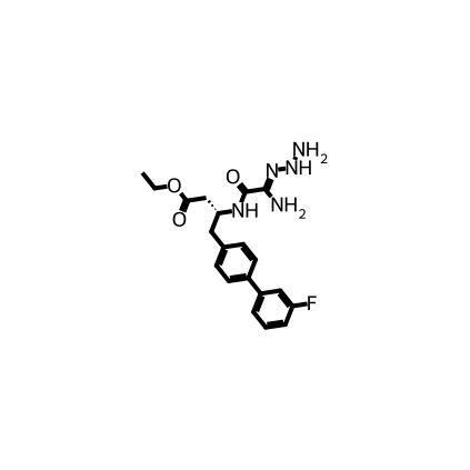 CCOC(=O)C[C@@H](Cc1ccc(-c2cccc(F)c2)cc1)NC(=O)/C(N)=N/NN